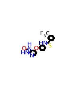 O=c1[nH]c2nccc(Oc3cccc(NC(=S)c4cccc(C(F)(F)F)c4)c3)c2[nH]1